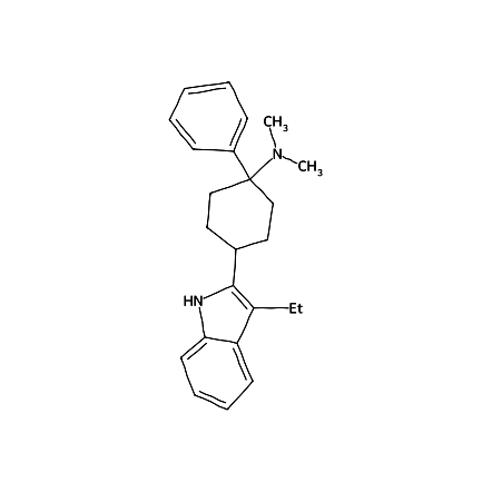 [CH2]Cc1c(C2CCC(c3ccccc3)(N(C)C)CC2)[nH]c2ccccc12